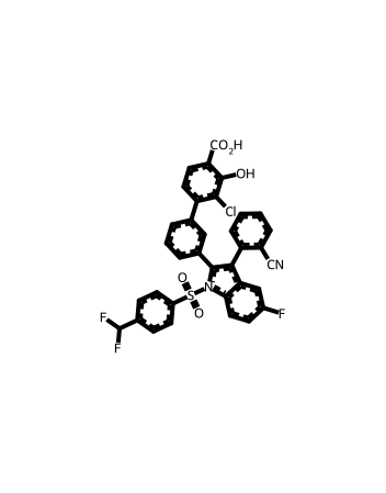 N#Cc1ccccc1-c1c(-c2cccc(-c3ccc(C(=O)O)c(O)c3Cl)c2)n(S(=O)(=O)c2ccc(C(F)F)cc2)c2ccc(F)cc12